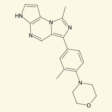 Cc1cc(-c2nc(C)n3c2cnc2[nH]ccc23)ccc1N1CCOCC1